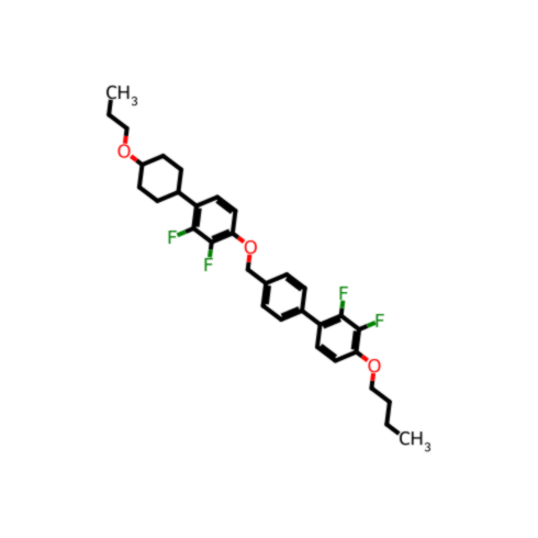 CCCCOc1ccc(-c2ccc(COc3ccc(C4CCC(OCCC)CC4)c(F)c3F)cc2)c(F)c1F